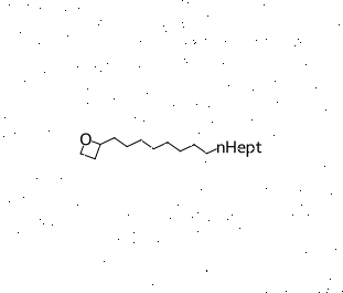 CCC[CH]CCCCCCCCCCCC1CCO1